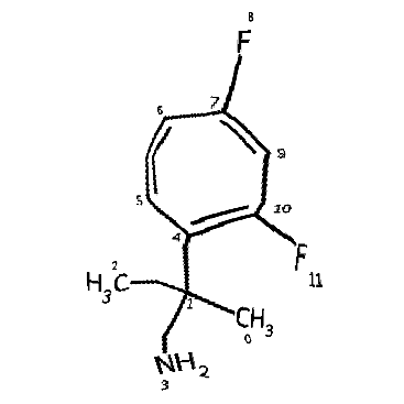 CC(C)(N)c1ccc(F)cc1F